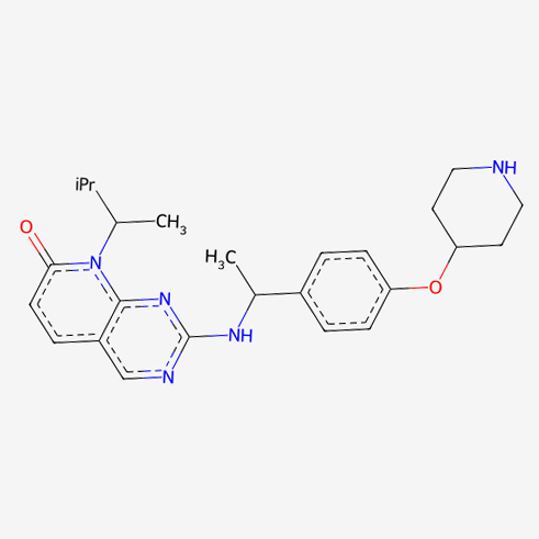 CC(Nc1ncc2ccc(=O)n(C(C)C(C)C)c2n1)c1ccc(OC2CCNCC2)cc1